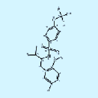 COc1ccc(C)cc1C[C@H](NS(=O)(=O)c1ccc(OC(F)(F)F)cc1)C(C)C